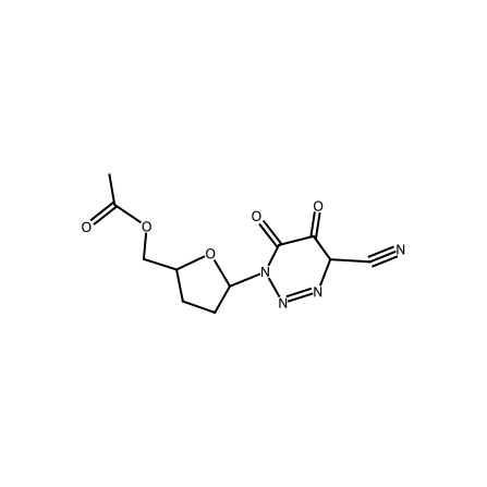 CC(=O)OCC1CCC(N2N=NC(C#N)C(=O)C2=O)O1